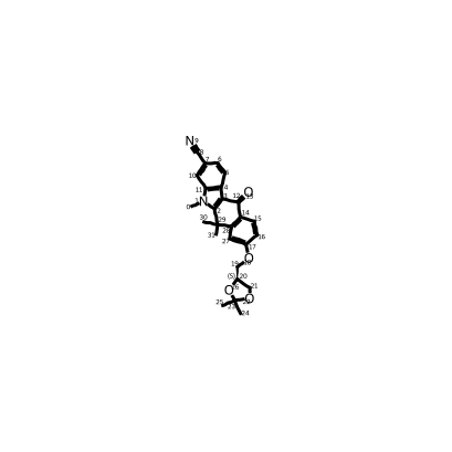 Cn1c2c(c3ccc(C#N)cc31)C(=O)c1ccc(OC[C@H]3COC(C)(C)O3)cc1C2(C)C